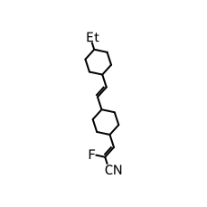 CCC1CCC(C=CC2CCC(C=C(F)C#N)CC2)CC1